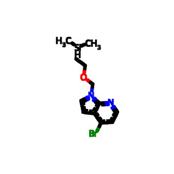 C[SiH](C)CCOCn1ccc2c(Br)ccnc21